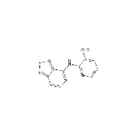 O=Cc1cccnc1Nc1cccc2nsnc12